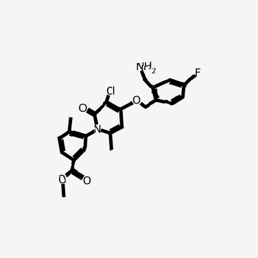 COC(=O)c1ccc(C)c(-n2c(C)cc(OCc3ccc(F)cc3CN)c(Cl)c2=O)c1